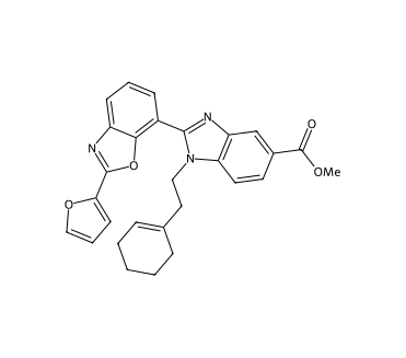 COC(=O)c1ccc2c(c1)nc(-c1cccc3nc(-c4ccco4)oc13)n2CCC1=CCCCC1